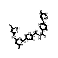 Cc1cc(Nc2cc(C)[nH]n2)nc(-c2ccc(C(=O)NC(C)c3ccc(-n4cc(F)cn4)nc3)nc2)n1